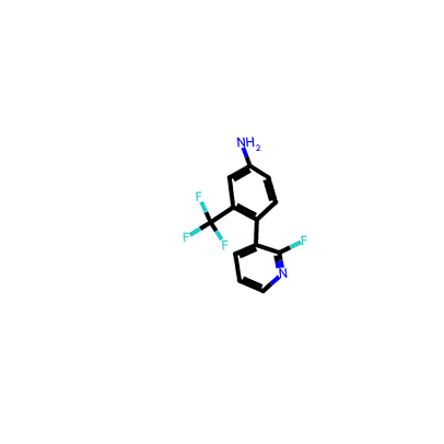 Nc1ccc(-c2cccnc2F)c(C(F)(F)F)c1